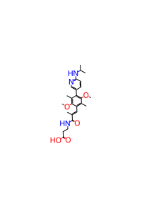 COc1c(C)c(-c2ccc(NC(C)C)nc2)c(OC)c(C)c1/C=C(\C)C(=O)NCCC(=O)O